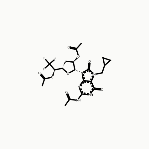 CC(=O)Nc1nc2c(c(=O)[nH]1)n(CC1CC1)c(=O)n2[C@@H]1O[C@H]([C@@H](OC(C)=O)C(F)(F)F)C[C@H]1OC(C)=O